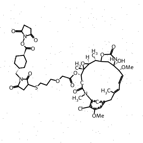 COc1cc2cc(c1Cl)N(C)C(=O)C[C@H](OC(=O)COCCCSC1CC(=O)N(C[C@H]3CC[C@H](C(=O)ON4C(=O)CCC4=O)CC3)C1=O)[C@]1(C)O[C@H]1[C@H](C)C1C[C@@](O)(NC(=O)O1)[C@H](OC)/C=C/C=C(\C)C2